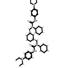 CCN(CC)c1ccc(NC(=O)N(C[C@@H]2CCC[C@H](CN(C(=O)Nc3ccc(N(CC)CC)cc3)C3CCCCC3)C2)C2CCCCC2)cc1